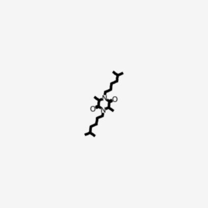 CC(C)CCCCN1C(=O)C(C)N(CCCCC(C)C)C(=O)C1C